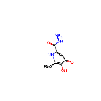 COc1[nH]c(C(=O)NN)cc(=O)c1O